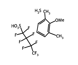 COc1c(C)cccc1C.O=S(=O)(O)C(F)(F)C(F)(F)C(F)(F)C(F)(F)F.S